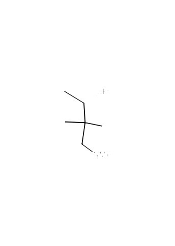 CNCC(C)(C)[C@H](C)C(C)C